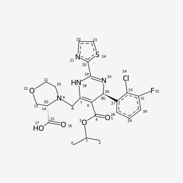 CC(C)OC(=O)C1=C(CN2CCOC[C@H]2C(=O)O)NC(c2nccs2)=N[C@H]1c1cccc(F)c1Cl